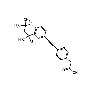 CC1(C)CC(C)(C)c2cc(C#Cc3ccc(CC(=O)O)nn3)ccc2S1